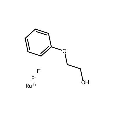 OCCOc1ccccc1.[F-].[F-].[Ru+2]